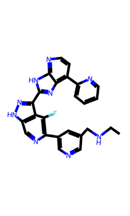 CCNCc1cncc(-c2ncc3[nH]nc(-c4nc5c(-c6ccccn6)ccnc5[nH]4)c3c2F)c1